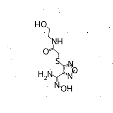 N/C(=N/O)c1nonc1SCC(=O)NCCO